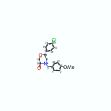 COc1ccc(CN2C[C@@H](c3ccc(Cl)cc3)OCC2=O)cc1